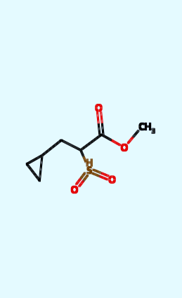 COC(=O)C(CC1CC1)[SH](=O)=O